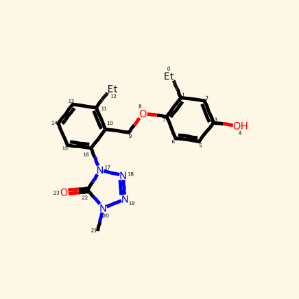 CCc1cc(O)ccc1OCc1c(CC)cccc1-n1nnn(C)c1=O